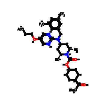 CC[C@@H]1C[C@@H](N(Cc2cc(C(F)(F)F)cc(C(F)(F)F)c2)c2ncc(OCCOC(C)=O)cn2)C[C@H](CC)N1C(=O)OC1CCC(C(=O)OC)CC1